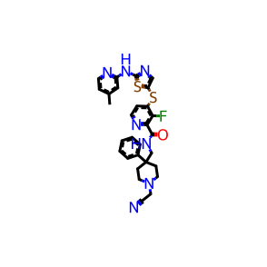 Cc1ccnc(Nc2ncc(Sc3ccnc(C(=O)NCC4(c5ccccc5)CCN(CC#N)CC4)c3F)s2)c1